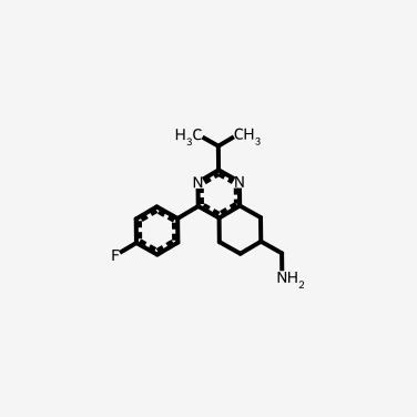 CC(C)c1nc2c(c(-c3ccc(F)cc3)n1)CCC(CN)C2